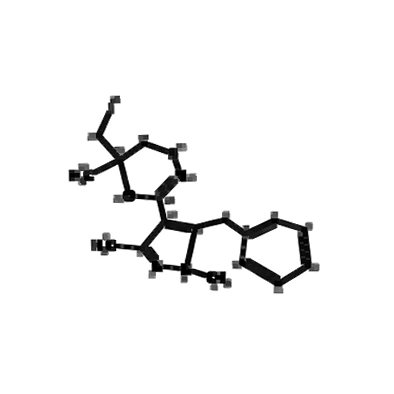 Cc1nn(C)c(Cc2ccccc2)c1C1=NSCC(C)(CI)O1